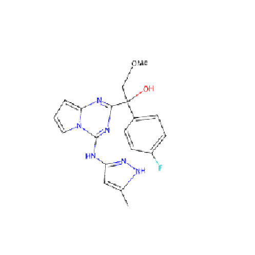 COCC(O)(c1ccc(F)cc1)c1nc(Nc2cc(C)[nH]n2)n2cccc2n1